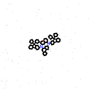 c1ccc(N(c2ccc3c(c2)C(c2ccccc2)(c2ccccc2)c2ccccc2-3)c2ccc3c(c2)c(N(c2ccccc2)c2ccc4c(c2)C(c2ccccc2)(c2ccccc2)c2ccccc2-4)cc2ccccc23)cc1